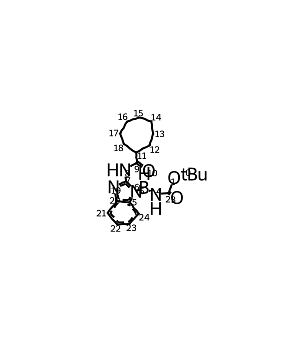 CC(C)(C)OC(=O)NBn1c(NC(=O)C2CCCCCCC2)nc2ccccc21